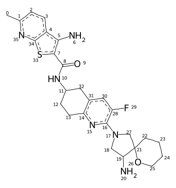 Cc1ccc2c(N)c(C(=O)NC3CCc4nc(N5CC(N)C6(CCCCO6)C5)c(F)cc4C3)sc2n1